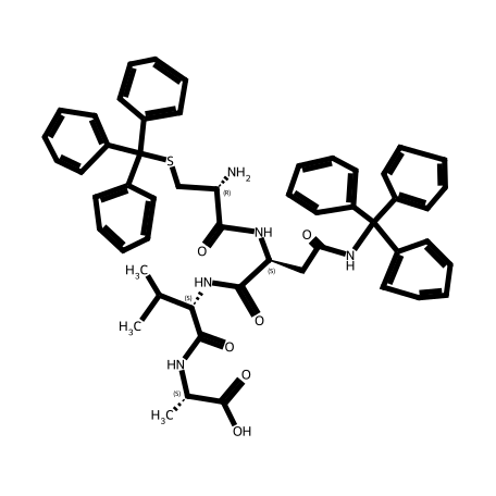 CC(C)[C@H](NC(=O)[C@H](CC(=O)NC(c1ccccc1)(c1ccccc1)c1ccccc1)NC(=O)[C@@H](N)CSC(c1ccccc1)(c1ccccc1)c1ccccc1)C(=O)N[C@@H](C)C(=O)O